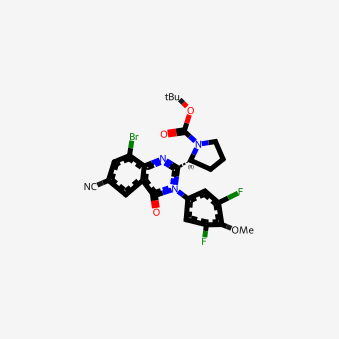 COc1c(F)cc(-n2c([C@H]3CCCN3C(=O)OC(C)(C)C)nc3c(Br)cc(C#N)cc3c2=O)cc1F